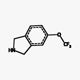 FC(F)(F)Oc1ccc2c(c1)CNC2